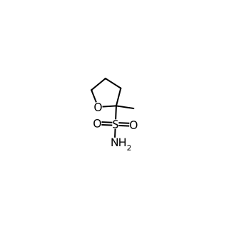 CC1(S(N)(=O)=O)CCCO1